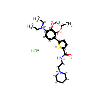 CCOc1c(-c2ccc(C(=O)NCCN3CCCCC3)s2)ccc(N(CC)CC)c1OC.Cl